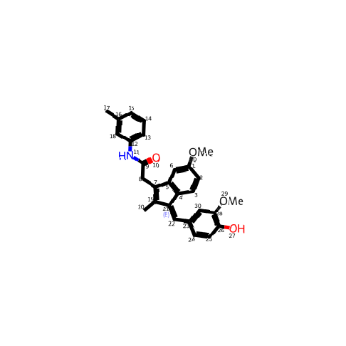 COc1ccc2c(c1)C(CC(=O)Nc1cccc(C)c1)=C(C)/C2=C/c1ccc(O)c(OC)c1